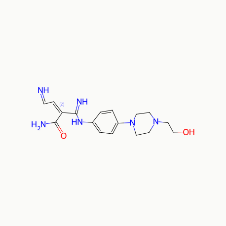 N=C/C=C(/C(=N)Nc1ccc(N2CCN(CCO)CC2)cc1)C(N)=O